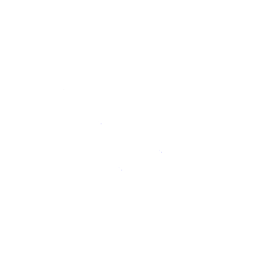 Cc1cccc(CN(C)C(=O)c2cc(C(=O)NCCC3CC3)c[nH]c2=O)c1